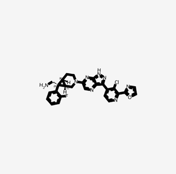 NC[C@]1(c2ccccc2F)[C@@H]2CCN(c3cnc4c(-c5ccnc(-c6ncco6)c5Cl)n[nH]c4n3)C[C@@H]21